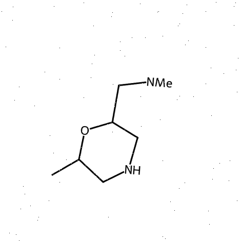 CNCC1CNCC(C)O1